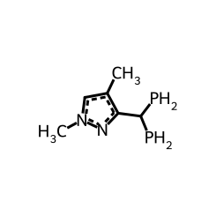 Cc1cn(C)nc1C(P)P